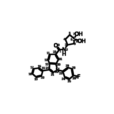 O=C(NC1CCS(O)(O)C1)c1ccc2c(-c3ccccc3)cn(-c3ccc(F)cc3)c2c1